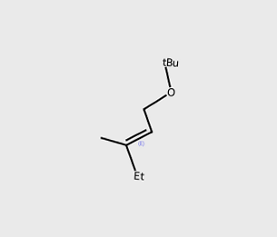 CC/C(C)=C/COC(C)(C)C